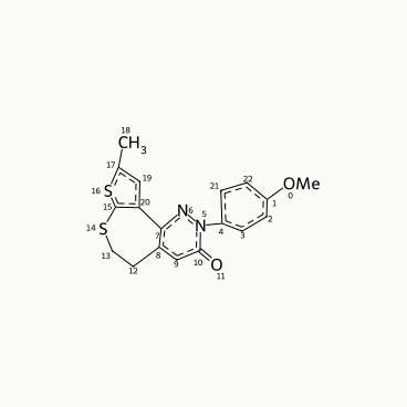 COc1ccc(-n2nc3c(cc2=O)CCSc2sc(C)cc2-3)cc1